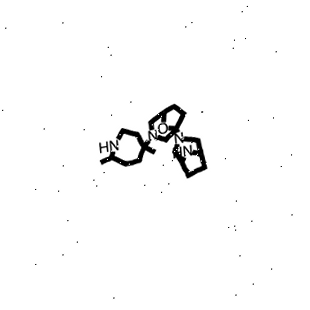 CC1CCC(C)(N2CC3CCC(N4CC5CCC(C4)N5)(C2)O3)CCN1